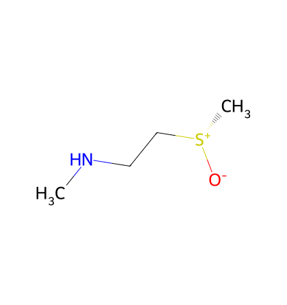 CNCC[S@+](C)[O-]